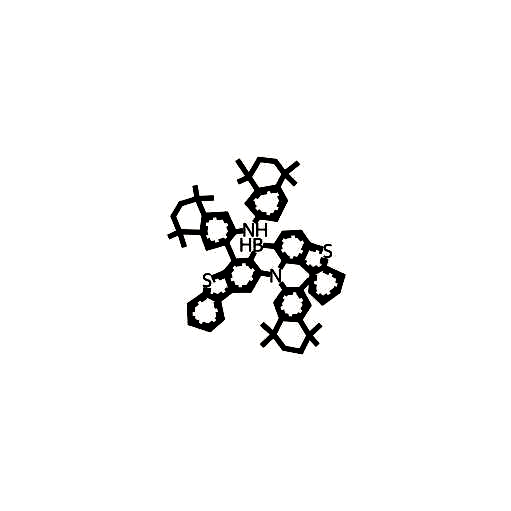 Cc1cc2c(cc1N1c3cc4c(sc5ccccc54)c(-c4cc5c(cc4Nc4ccc6c(c4)C(C)(C)CCC6(C)C)C(C)(C)CCC5(C)C)c3Bc3ccc4sc5ccccc5c4c31)C(C)(C)CCC2(C)C